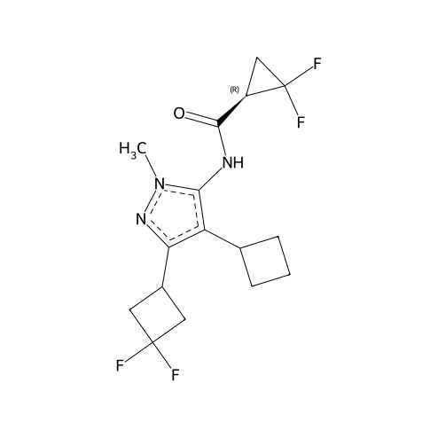 Cn1nc(C2CC(F)(F)C2)c(C2CCC2)c1NC(=O)[C@H]1CC1(F)F